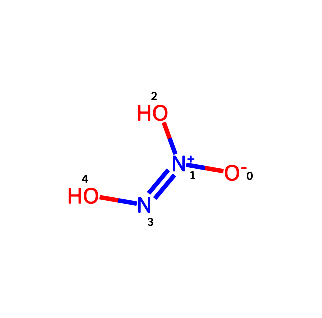 [O-][N+](O)=NO